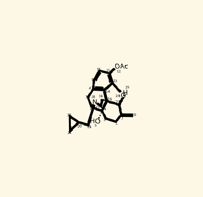 C=C1CC[C@@]2(O)C3Cc4ccc(OC(C)=O)c5c4[C@@]2(CCN3CC2CC2)[C@H]1O5